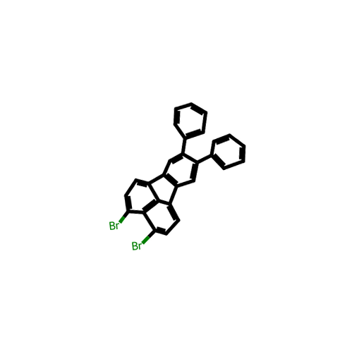 Brc1ccc2c3c(ccc(Br)c13)-c1cc(-c3ccccc3)c(-c3ccccc3)cc1-2